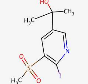 CC(C)(O)c1cnc(I)c(S(C)(=O)=O)c1